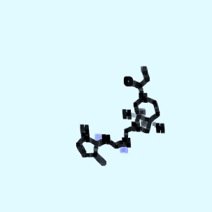 C=CC(=O)N1CC[C@H]2CN(C/N=C\N=C3\NC=CC3=C)[C@H]2C1